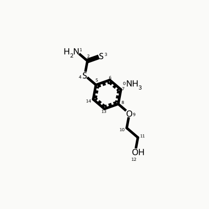 N.NC(=S)Sc1ccc(OCCO)cc1